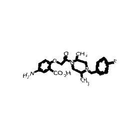 CC1CN(C(=O)COc2ccc(N)cc2C(=O)O)C(C)CN1Cc1ccc(F)cc1